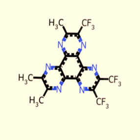 Cc1nc2c(nc1C)c1nc(C(F)(F)F)c(C(F)(F)F)nc1c1nc(C(F)(F)F)c(C)nc21